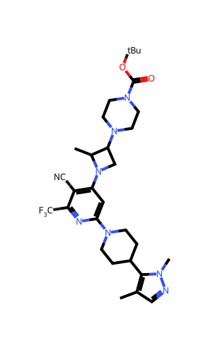 Cc1cnn(C)c1C1CCN(c2cc(N3CC(N4CCN(C(=O)OC(C)(C)C)CC4)C3C)c(C#N)c(C(F)(F)F)n2)CC1